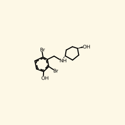 Oc1ccc(Br)c(CN[C@H]2CC[C@H](O)CC2)c1Br